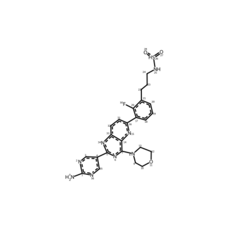 Nc1ncc(-c2nc(N3CCOCC3)c3nc(-c4cccc(CCCN[SH](=O)=O)c4F)ccc3n2)cn1